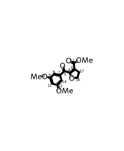 COC(=O)C1=C(C(=O)c2cc(OC)cc(OC)c2)OCC1